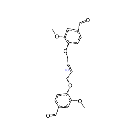 COc1cc(C=O)ccc1OC/C=C/COc1ccc(C=O)cc1OC